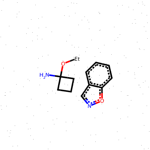 CCOC1(N)CCC1.c1ccc2oncc2c1